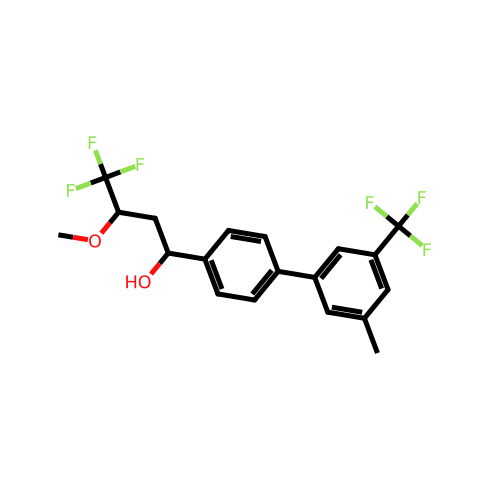 COC(CC(O)c1ccc(-c2cc(C)cc(C(F)(F)F)c2)cc1)C(F)(F)F